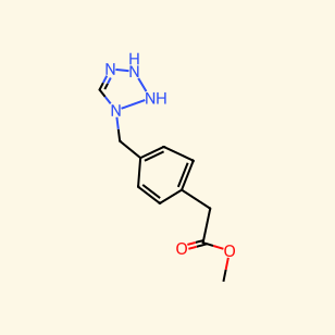 COC(=O)Cc1ccc(CN2C=NNN2)cc1